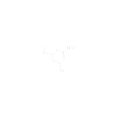 CNc1cc(N)cc(NCl)c1